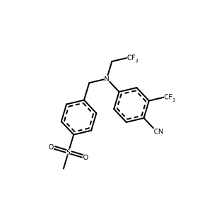 CS(=O)(=O)c1ccc(CN(CC(F)(F)F)c2ccc(C#N)c(C(F)(F)F)c2)cc1